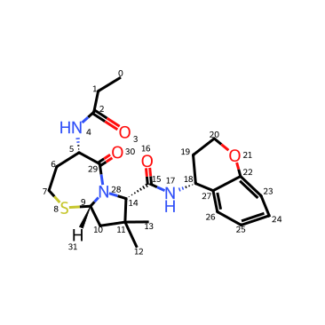 CCC(=O)N[C@H]1CCS[C@H]2CC(C)(C)[C@@H](C(=O)N[C@@H]3CCOc4ccccc43)N2C1=O